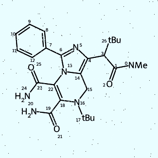 CNC(=O)C(c1nc(-c2ccccc2)n2c1CN(C(C)(C)C)C(C(N)=O)=C2C(N)=O)C(C)(C)C